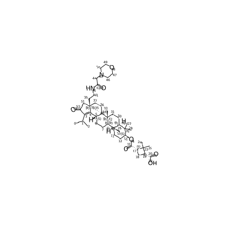 CC(C)C1=C2[C@H]3CC[C@@H]4[C@@]5(C)CC[C@H](OC(=O)[C@H]6C[C@@H](C(=O)O)C6(C)C)C(C)(C)[C@@H]5CC[C@@]4(C)[C@]3(C)CC[C@@]2(CCNC(=O)CN2CCOCC2)CC1=O